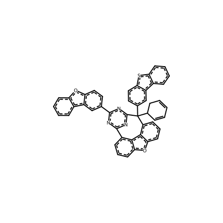 C1=CCC(C2(c3ccc4sc5ccccc5c4c3)c3nc(-c4ccc5oc6ccccc6c5c4)nc(n3)-c3cccc4oc5cccc2c5c34)C=C1